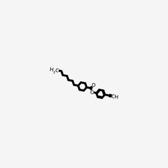 C#Cc1ccc(OC(=O)C2CCC(CCCCCCC)CC2)cc1